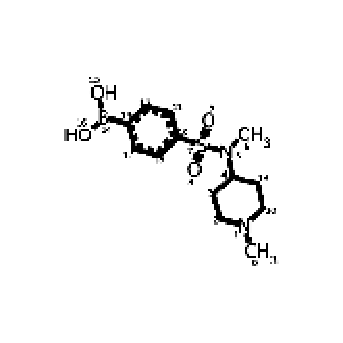 CN1CCC(N(C)S(=O)(=O)c2ccc(B(O)O)cc2)CC1